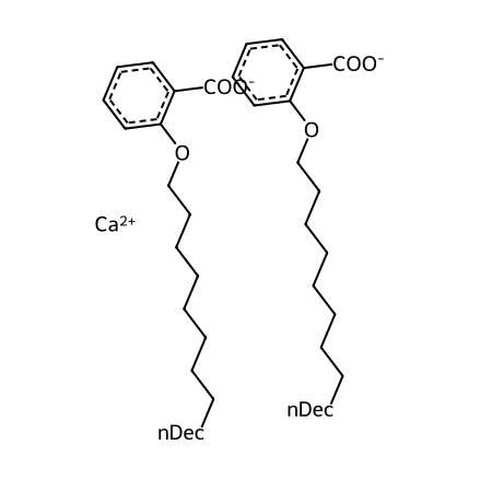 CCCCCCCCCCCCCCCCCCOc1ccccc1C(=O)[O-].CCCCCCCCCCCCCCCCCCOc1ccccc1C(=O)[O-].[Ca+2]